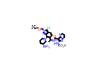 CC(NC(=O)c1c(NC(=O)O)nn2cccnc12)c1ccc2c(Cl)n(COCC[Si](C)(C)C)nc2c1N1CCC[C@H](N)C1